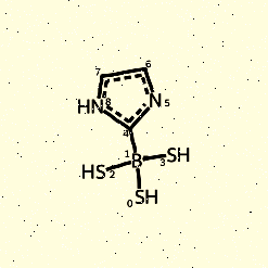 S[B-](S)(S)c1ncc[nH]1